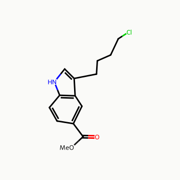 COC(=O)c1ccc2[nH]cc(CCCCCl)c2c1